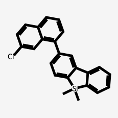 C[Si]1(C)c2ccccc2-c2cc(-c3cccc4ccc(Cl)cc34)ccc21